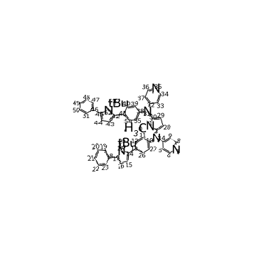 Cn1c(N(c2ccncc2)c2ccc(-c3ccc(-c4ccccc4)n3C(C)(C)C)cc2)ccc1N(c1ccncc1)c1ccc(-c2ccc(-c3ccccc3)n2C(C)(C)C)cc1